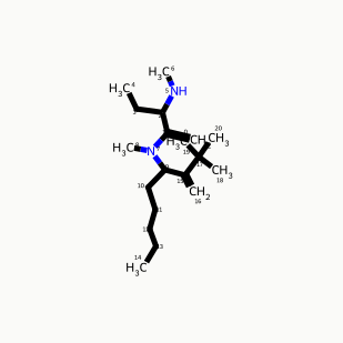 C=C(C(CC)NC)N(C)C(CCCCC)C(=C)C(C)(C)C